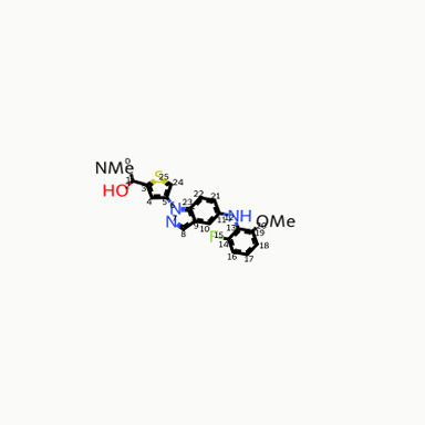 CNC(O)c1cc(-n2ncc3cc(Nc4c(F)cccc4OC)ccc32)cs1